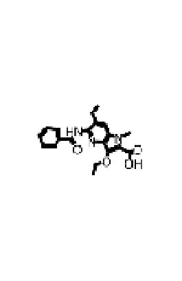 CCOc1c(C(=O)O)n(C)c2cc(CC)c(NC(=O)c3ccccc3)nc12